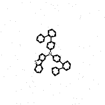 c1ccc(-c2ccccc2-c2ccc(N(c3ccc(-c4ccccc4-c4ccccc4)cc3)c3ccc4sc5ccccc5c4c3)cc2)cc1